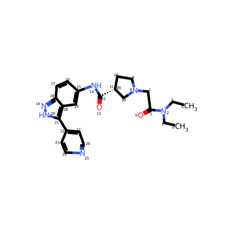 CCN(CC)C(=O)CN1CC[C@@H](C(=O)Nc2ccc3n[nH]c(-c4ccncc4)c3c2)C1